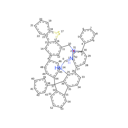 C(=N\N(Cc1ccccc1)Cc1cccc2c1sc1ccccc12)/Nc1c(-c2ccccc2)ccc2c1C(c1ccccc1)(c1ccccc1)c1ccccc1-2